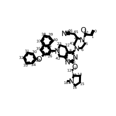 C=CC(=O)N1CCN(c2nc(OC[C@@H]3CCCN3C)nc3c2CCN(c2cc(Oc4ccccc4)cc4ccccc24)C3)CC1CC#N